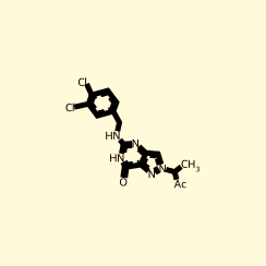 CC(=O)C(C)n1cc2nc(NCc3ccc(Cl)c(Cl)c3)[nH]c(=O)c2n1